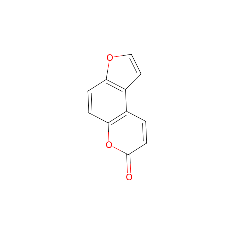 O=c1ccc2c(ccc3occc32)o1